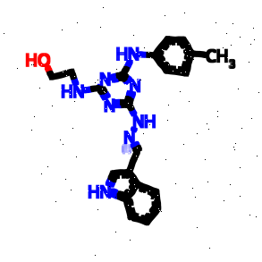 Cc1ccc(Nc2nc(NCCO)nc(N/N=C/c3c[nH]c4ccccc34)n2)cc1